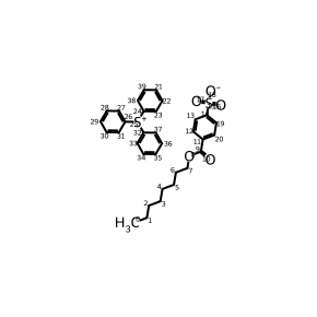 CCCCCCCCOC(=O)c1ccc(S(=O)(=O)[O-])cc1.c1ccc([S+](c2ccccc2)c2ccccc2)cc1